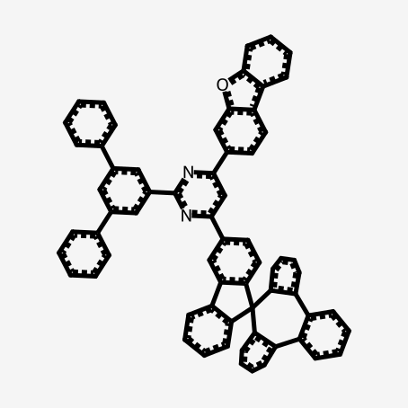 c1ccc(-c2cc(-c3ccccc3)cc(-c3nc(-c4ccc5c(c4)-c4ccccc4C54c5ccccc5-c5ccccc5-c5ccccc54)cc(-c4ccc5c(c4)oc4ccccc45)n3)c2)cc1